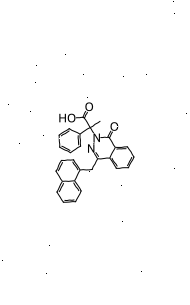 CC(C(=O)O)(c1ccccc1)n1nc(Cc2cccc3ccccc23)c2ccccc2c1=O